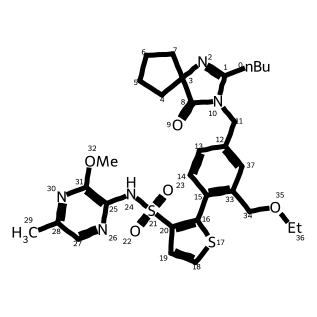 CCCCC1=NC2(CCCC2)C(=O)N1Cc1ccc(-c2sccc2S(=O)(=O)Nc2ncc(C)nc2OC)c(COCC)c1